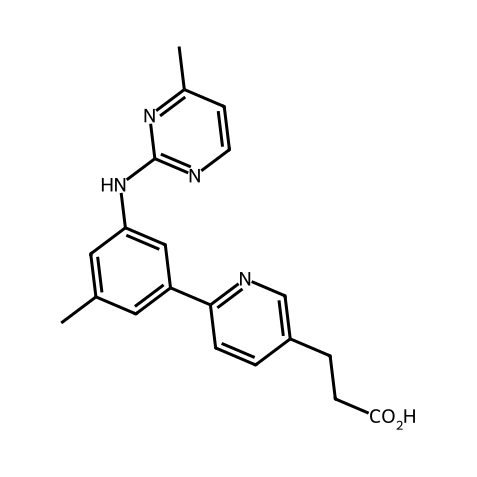 Cc1cc(Nc2nccc(C)n2)cc(-c2ccc(CCC(=O)O)cn2)c1